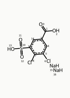 O=C(O)c1cc(Cl)c(Cl)c(S(=O)(=O)O)c1.[NaH].[NaH]